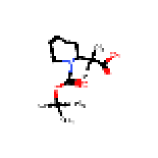 CC(C)(C)OC(=O)N1CCCCC1C(C)(C)C(=O)O